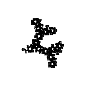 C=Cc1ccc(-n2c3ccc(-c4ccc(N(c5ccc(-c6ccccc6)c(C)c5)c5ccc6c(c5)C(C)(C)c5ccccc5-6)cc4)cc3c3cc(-c4ccc(N(c5ccc(-c6ccccc6)c(C)c5)c5ccc6c(c5)C(C)(C)c5ccccc5-6)cc4)ccc32)cc1